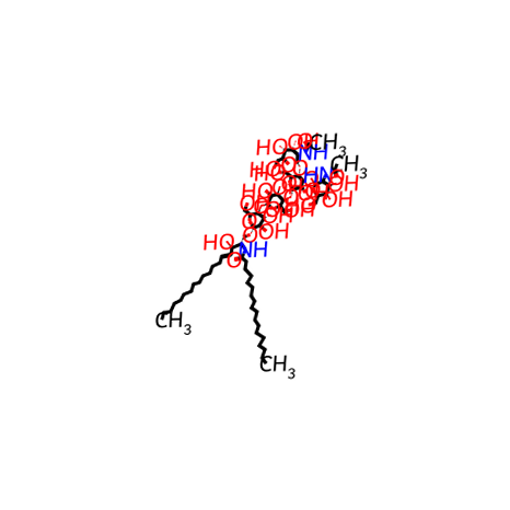 CCCCCCCCCCCCC/C=C/[C@@H](O)[C@H](CO[C@@H]1OC(CO)[C@@H](O[C@@H]2OC(CO)[C@H](O[C@@H]3OC(CO)[C@H](O[C@@H]4OC(CO)[C@H](O)[C@H](O)C4NC(C)=O)[C@H](O[C@@H]4OC(CO)[C@H](O)[C@H](O)C4NC(C)=O)C3O)[C@H](O)C2O)[C@H](O)C1O)NC(=O)CCCCCCCCCCCCCCCCC